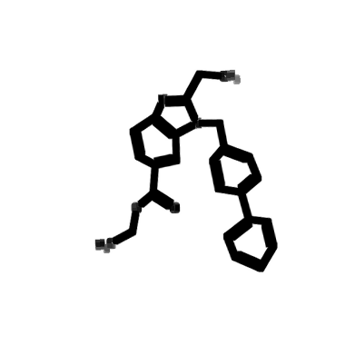 CCOC(=O)c1ccc2nc(CC)n(Cc3ccc(-c4ccccc4)cc3)c2c1